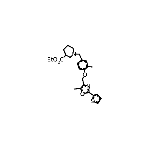 CCOC(=O)C1CCCN(Cc2ccc(OCc3nc(-c4cccs4)oc3C)c(C)c2)C1